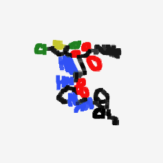 CNC(=O)C(=O)CC[C@H](NC(=O)c1cc(Cl)sc1Cl)C(=O)Nc1cccn(CC(=O)NC2C(C)CC3CCCC2C3)c1=O